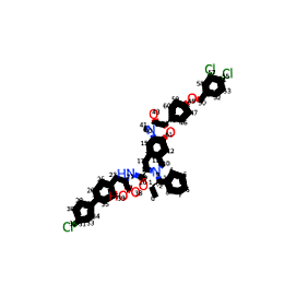 CC[C@@H](c1ccccc1)N1Cc2cc3c(cc2C[C@H]1C(=O)NC(Cc1ccc(-c2ccc(Cl)cc2)cc1)C(=O)O)N(C)C(=O)[C@H](c1ccc(OCc2ccc(Cl)c(Cl)c2)cc1)O3